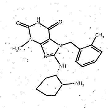 Cc1ccccc1Cn1c(N[C@H]2CCCCC2N)nc2c1c(=O)[nH]c(=O)n2C